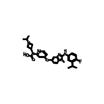 CC(C)c1cc(Nc2nc3cc(Oc4ccnc(N(C(=O)O)C5CN(C(C)C)C5)c4)ccc3n2C)ccc1F